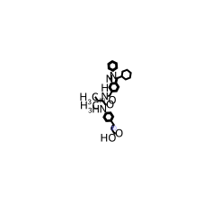 CC(C)[C@H](NC(=O)c1ccc2c(C3CCCCC3)n(-c3ccccc3)nc2c1)C(=O)Nc1ccc(/C=C/C(=O)O)cc1